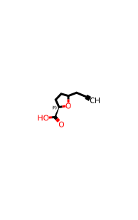 C#CCC1CC[C@H](C(=O)O)O1